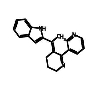 CC(=C1CCCN=C1c1cccnc1)c1cc2ccccc2[nH]1